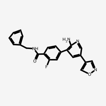 Nc1ncc(-c2cnoc2)cc1-c1ccc(C(=O)NCc2ccccc2)c(F)c1